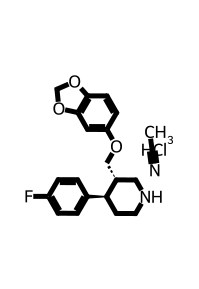 CC#N.Cl.Fc1ccc([C@@H]2CCNC[C@H]2COc2ccc3c(c2)OCO3)cc1